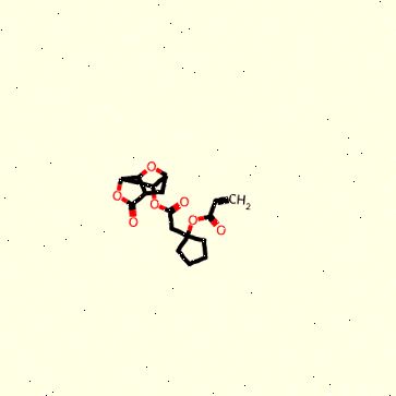 C=CC(=O)OC1(CC(=O)OC2C3CC4C(=O)OC2C4O3)CCCC1